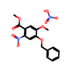 COC(=O)c1cc(OC)c(OCc2ccccc2)cc1[N+](=O)[O-].O=[N+]([O-])O